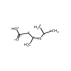 CC(C)SC(C)CC(=O)O